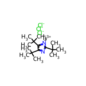 CC(C)(C)c1nc(C(C)(C)C)[n]([Ti+3])c1C(C)(C)C.[Cl-].[Cl-].[Cl-]